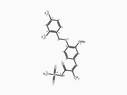 COc1cc(C=C(C)C(=O)NS(C)(=O)=O)ccc1OCc1ccc(C(F)(F)F)cc1C(F)(F)F